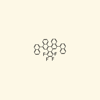 Fc1c(F)c(F)c2c3cc(-c4cccc5ccccc45)c4ccccc4c3c3c4ccccc4c(-c4cccc5ccccc45)cc3c2c1F